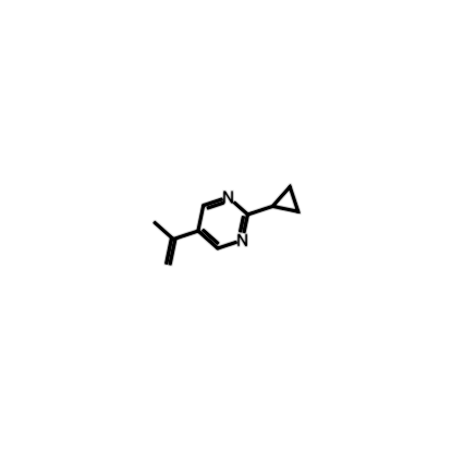 C=C(C)c1cnc(C2CC2)nc1